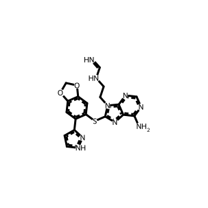 N=CNCCn1c(Sc2cc3c(cc2-c2cc[nH]n2)OCO3)nc2c(N)ncnc21